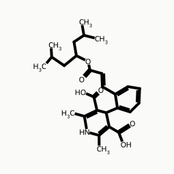 CC1=C(C(=O)O)C(c2ccccc2/C=C/C(=O)OC(CC(C)C)CC(C)C)C(C(=O)O)=C(C)N1